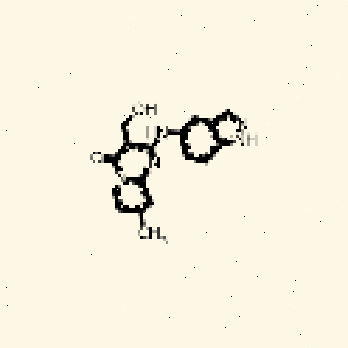 Cc1ccn2c(=O)c(CO)c(Nc3ccc4[nH]ncc4c3)nc2c1